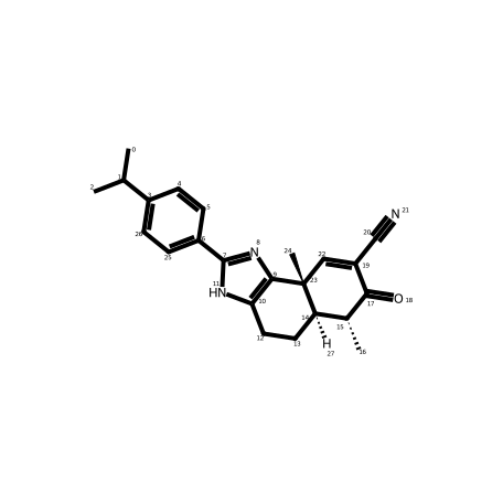 CC(C)c1ccc(-c2nc3c([nH]2)CC[C@@H]2[C@@H](C)C(=O)C(C#N)=C[C@@]32C)cc1